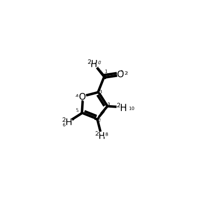 [2H]C(=O)c1oc([2H])c([2H])c1[2H]